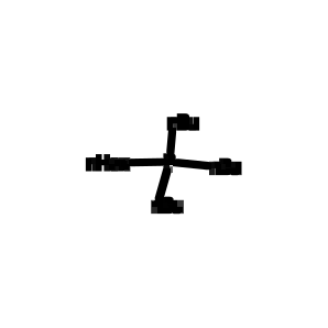 CCCCCC[P](CCCC)(CCCC)CCCC